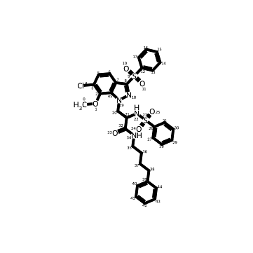 COc1c(Cl)ccc2c(S(=O)(=O)c3ccccc3)nn(CC(NS(=O)(=O)c3ccccc3)C(=O)NCCCCc3ccccc3)c12